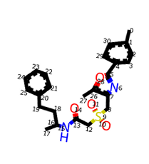 Cc1ccc(-c2nc(CS(=O)(=O)CC(=O)NC(C)CCc3ccccc3)c(C)o2)cc1